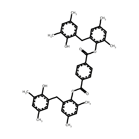 Cc1cc(C)c(O)c(Cc2cc(C)cc(C)c2OC(=O)c2ccc(C(=O)Oc3c(C)cc(C)cc3Cc3cc(C)cc(C)c3O)cc2)c1